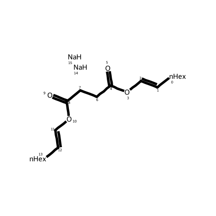 CCCCCCC=COC(=O)CCC(=O)OC=CCCCCCC.[NaH].[NaH]